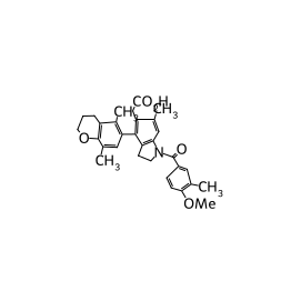 COc1ccc(C(=O)N2CCc3c2cc(C)c(CC(=O)O)c3-c2cc(C)c3c(c2C)CCCO3)cc1C